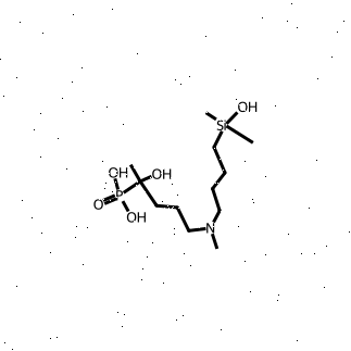 CN(CCCC[Si](C)(C)O)CCCC(C)(O)P(=O)(O)O